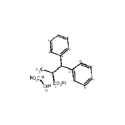 CCOC(=O)C(C)C(c1ccccc1)c1ccccc1.O=C(O)O